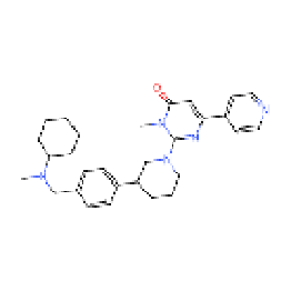 CN(Cc1ccc(C2CCCN(c3nc(-c4ccncc4)cc(=O)n3C)C2)cc1)C1CCCCC1